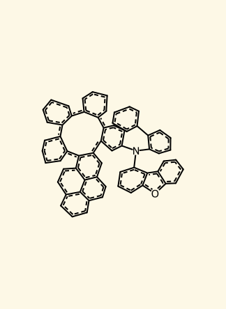 c1ccc(-c2ccccc2N(c2ccc3c4ccccc4c4ccccc4c4ccccc4c4c(cc5ccc6cccc7ccc4c5c67)c3c2)c2cccc3oc4ccccc4c23)cc1